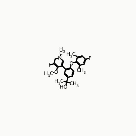 COC1=C(I)CN(C)C=C1c1cc(C(C)(C)O)ccc1Oc1c(C)cc(F)cc1C